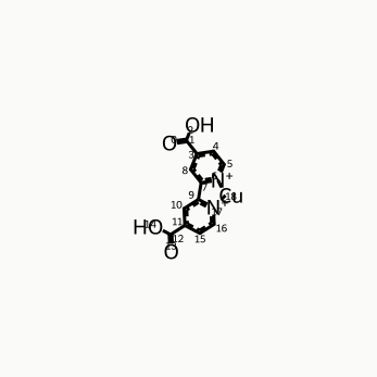 O=C(O)c1cc[n+]2c(c1)-c1cc(C(=O)O)cc[n+]1[Cu]2